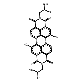 CCCCC(CC)CN1C(=O)c2ccc3c4c(C#N)cc5c6c(ccc(c7c(C#N)cc(c2c37)C1=O)c64)C(=O)N(CC(CC)CCCC)C5=O